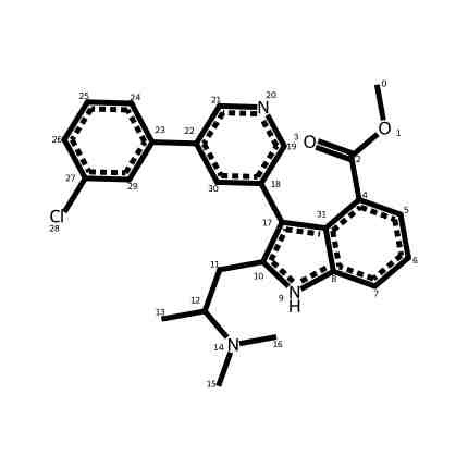 COC(=O)c1cccc2[nH]c(CC(C)N(C)C)c(-c3cncc(-c4cccc(Cl)c4)c3)c12